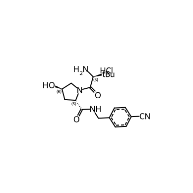 CC(C)(C)[C@H](N)C(=O)N1C[C@H](O)C[C@H]1C(=O)NCc1ccc(C#N)cc1.Cl